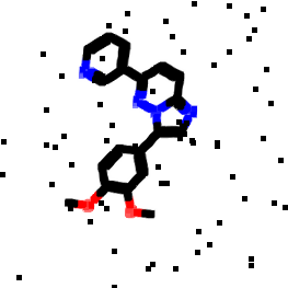 COc1ccc(-c2cnc3ccc(-c4cccnc4)nn23)cc1OC